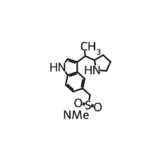 CNS(=O)(=O)Cc1ccc2[nH]cc(C(C)C3CCCN3)c2c1